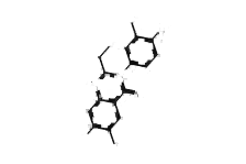 CCc1nc2cc(F)c(C)cc2c(=O)n1-c1ccc(Br)c(C)c1